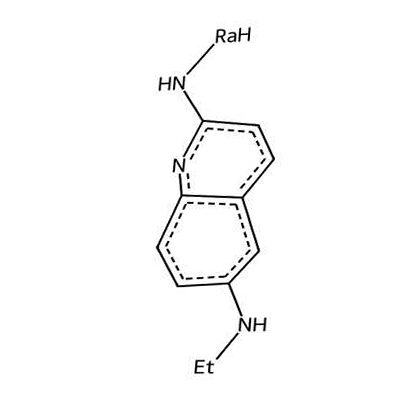 CCNc1ccc2nc([NH][RaH])ccc2c1